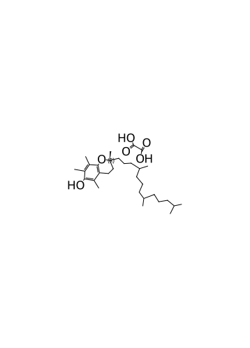 Cc1c(C)c2c(c(C)c1O)CC[C@@](C)(CCCC(C)CCCC(C)CCCC(C)C)O2.O=C(O)C(=O)O